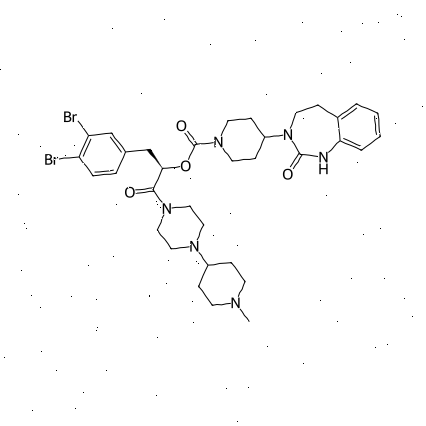 CN1CCC(N2CCN(C(=O)[C@@H](Cc3ccc(Br)c(Br)c3)OC(=O)N3CCC(N4CCc5ccccc5NC4=O)CC3)CC2)CC1